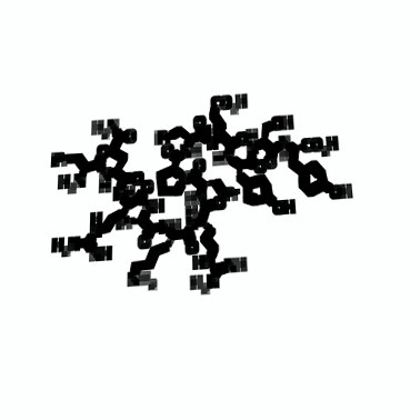 CC(C)C[C@H](NC(=O)[C@@H]1CCCN1C(=O)[C@H](CC(C)C)NC(=O)[C@H](CCCNC(=N)N)NC(=O)[C@H](CCCCN)NC(=O)[C@@H](NC(=O)[C@H](CCCNC(=N)N)NC(=O)[C@H](CCC(N)=O)NC(=O)[C@@H](N)CC(C)C)C(C)C)C(=O)N[C@@H](CCC(=O)O)C(=O)N[C@@H](Cc1ccc(O)cc1)C(=O)N[C@@H](CO)C(=O)N[C@@H](Cc1ccc(O)cc1)C(=O)O